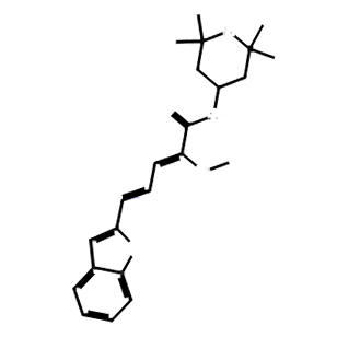 CO/C(=C\C=C\c1cc2ccccc2o1)C(=O)NC1CC(C)(C)NC(C)(C)C1